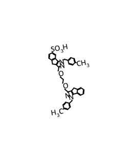 Cc1ccc(Cn2nc(COCCCOCc3nn(Cc4ccc(C)cc4)c4c3Cc3ccc(S(=O)(=O)O)cc3-4)c3c2-c2ccccc2C3)cc1